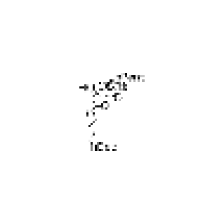 CCCCCCCCCCCCCCOC(=O)CC(O)(CC(=O)OC(=O)CCCCC)C(=O)O